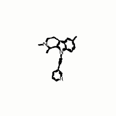 Cc1ccc2c(c1)c1c(n2C#Cc2cccnc2)C(C)N(C)CC1